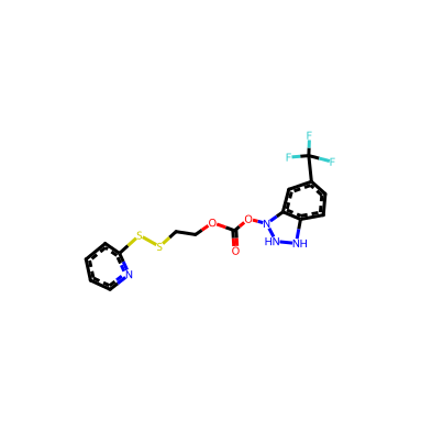 O=C(OCCSSc1ccccn1)ON1NNc2ccc(C(F)(F)F)cc21